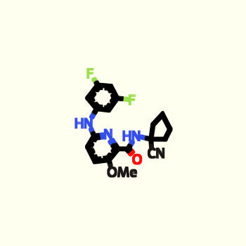 COc1ccc(Nc2cc(F)cc(F)c2)nc1C(=O)NC1(C#N)CCCC1